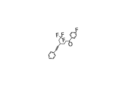 O=C(CCC(C#Cc1ccccc1)CC(F)(F)F)c1ccc(F)cc1